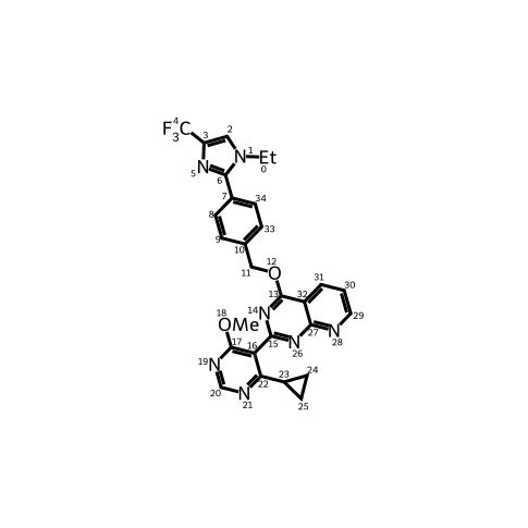 CCn1cc(C(F)(F)F)nc1-c1ccc(COc2nc(-c3c(OC)ncnc3C3CC3)nc3ncccc23)cc1